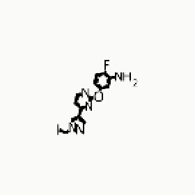 Nc1cc(Oc2nccc(-c3cnn(CI)c3)n2)ccc1F